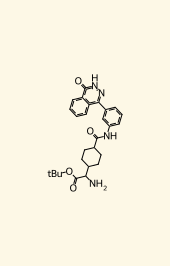 CC(C)(C)OC(=O)C(N)C1CCC(C(=O)Nc2cccc(-c3n[nH]c(=O)c4ccccc34)c2)CC1